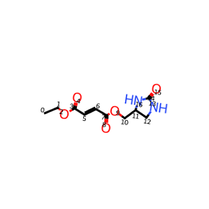 CCOC(=O)/C=C/C(=O)OCC1CNC(=O)N1